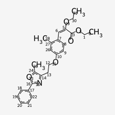 CCOC(=O)/C(=C\c1ccc(OCCc2nc(-c3ccccc3)oc2C)cc1C)OCC